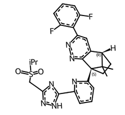 CC(C)S(=O)(=O)Cc1n[nH]c(-c2cccc([C@@]34CC[C@@H](c5cc(-c6c(F)cccc6F)nnc53)C4(C)C)n2)n1